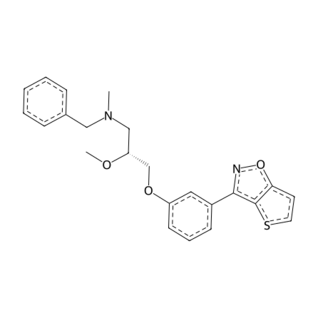 CO[C@@H](COc1cccc(-c2noc3ccsc23)c1)CN(C)Cc1ccccc1